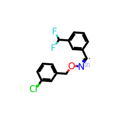 FC(F)c1cccc(/[C]=N\OCc2cccc(Cl)c2)c1